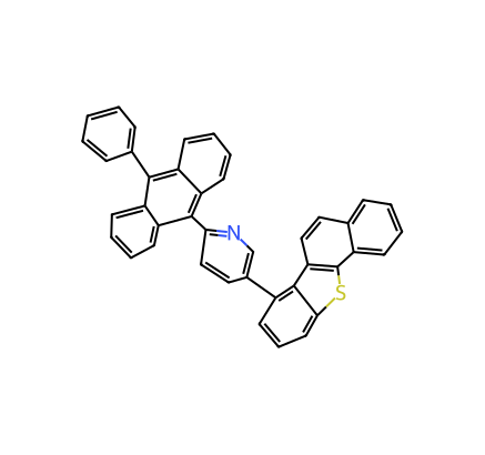 c1ccc(-c2c3ccccc3c(-c3ccc(-c4cccc5sc6c7ccccc7ccc6c45)cn3)c3ccccc23)cc1